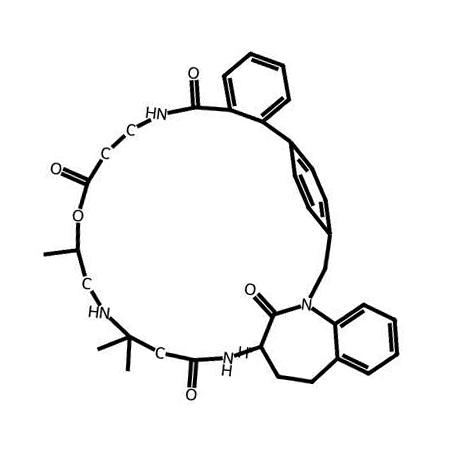 CC1CNC(C)(C)CC(=O)N[C@@H]2CCc3ccccc3N(Cc3ccc(cc3)-c3ccccc3C(=O)NCCC(=O)O1)C2=O